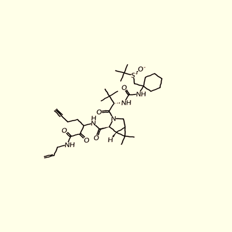 C#CCCC(NC(=O)[C@@H]1[C@@H]2C(CN1C(=O)[C@@H](NC(=O)NC1(C[S+]([O-])C(C)(C)C)CCCCC1)C(C)(C)C)C2(C)C)C(=O)C(=O)NCC=C